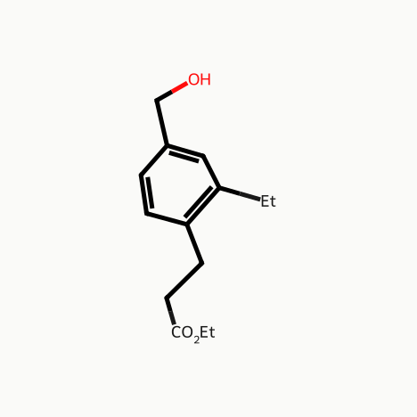 CCOC(=O)CCc1ccc(CO)cc1CC